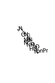 CCCc1ccnc(NC(=O)c2ccc(-c3nn(C4CCCN(C(=O)C=CCN(C)C5CC5)C4)c4ncnc(N)c34)cc2)c1